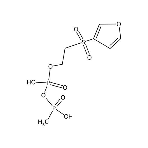 CP(=O)(O)OP(=O)(O)OCCS(=O)(=O)c1ccoc1